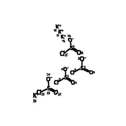 O=S([O-])Cl.O=S([O-])Cl.O=S([O-])Cl.O=S([O-])Cl.[K+].[K+].[K+].[K+]